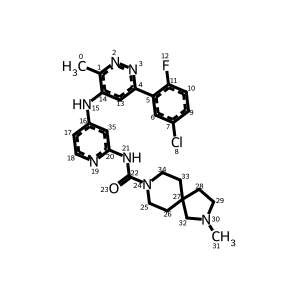 Cc1nnc(-c2cc(Cl)ccc2F)cc1Nc1ccnc(NC(=O)N2CCC3(CCN(C)C3)CC2)c1